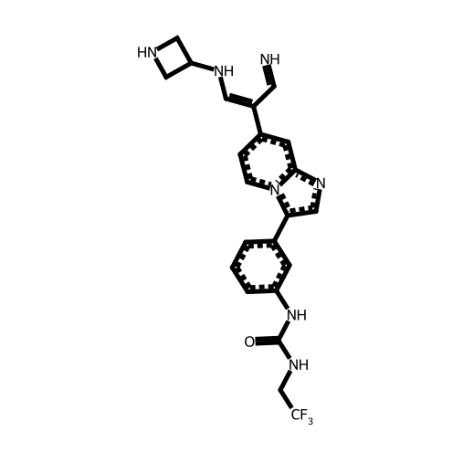 N=C/C(=C\NC1CNC1)c1ccn2c(-c3cccc(NC(=O)NCC(F)(F)F)c3)cnc2c1